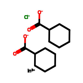 O=C([O-])C1CCCCC1.O=C([O-])C1CCCCC1.[Cl-].[In+3]